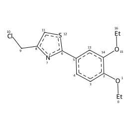 CCOc1ccc(-c2nc(CCl)cs2)cc1OCC